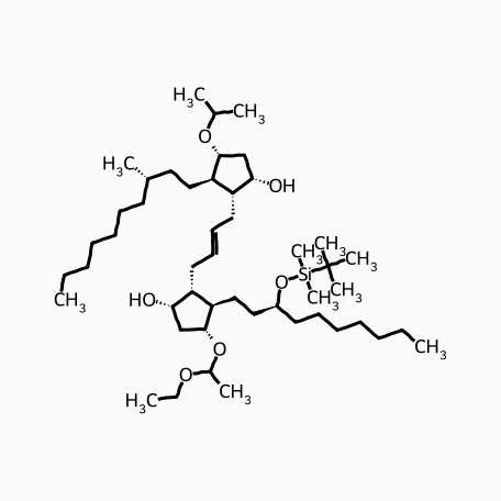 CCCCCCC[C@H](C)CC[C@@H]1[C@@H](C/C=C/C[C@@H]2[C@@H](CC[C@H](CCCCCCC)O[Si](C)(C)C(C)(C)C)[C@H](OC(C)OCC)C[C@@H]2O)[C@@H](O)C[C@H]1OC(C)C